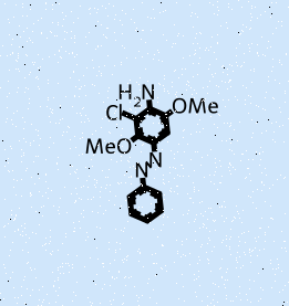 COc1cc(N=Nc2ccccc2)c(OC)c(Cl)c1N